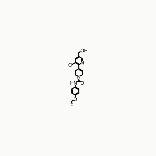 O=C(Nc1ccc(OCF)cc1)N1CC=C(c2ncc(CO)cc2Cl)CC1